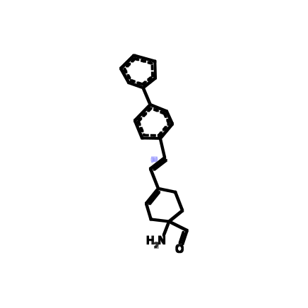 NC1(C=O)CC=C(/C=C/c2ccc(-c3ccccc3)cc2)CC1